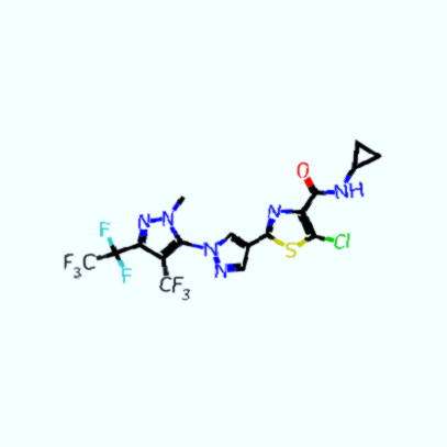 Cn1nc(C(F)(F)C(F)(F)F)c(C(F)(F)F)c1-n1cc(-c2nc(C(=O)NC3CC3)c(Cl)s2)cn1